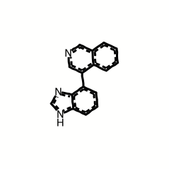 c1ccc2c(-c3cccc4[nH]cnc34)cncc2c1